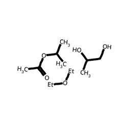 CC(=O)OC(C)C.CC(O)CO.CCOCC